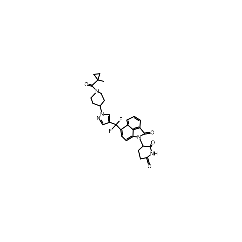 CC1(C(=O)N2CCC(n3cc(C(F)(F)c4ccc5c6c(cccc46)C(=O)N5C4CCC(=O)NC4=O)cn3)CC2)CC1